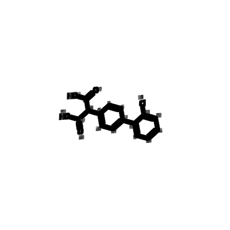 O=C(O)C(c1ccc(-c2ccccc2Cl)cc1)S(=O)O